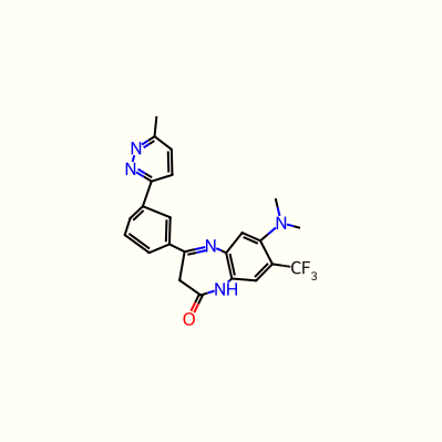 Cc1ccc(-c2cccc(C3=Nc4cc(N(C)C)c(C(F)(F)F)cc4NC(=O)C3)c2)nn1